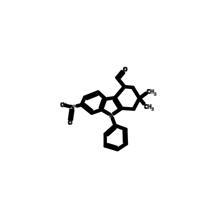 CC1(C)Cc2c(c3ccc([N+](=O)[O-])cc3n2-c2ccccc2)C(C=O)C1